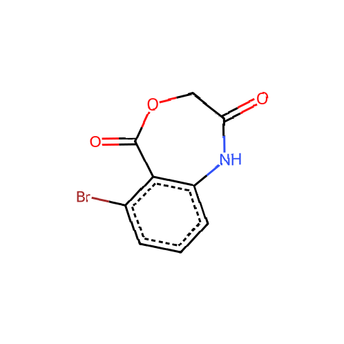 O=C1COC(=O)c2c(Br)cccc2N1